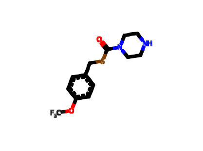 O=C(SCc1ccc(OC(F)(F)F)cc1)N1CCNCC1